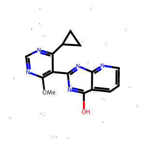 COc1ncnc(C2CC2)c1-c1nc(O)c2cccnc2n1